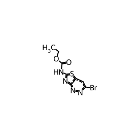 CCOC(=O)Nc1nc2nnc(Br)cc2s1